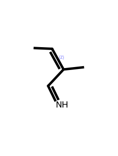 C/C=C(/C)C=N